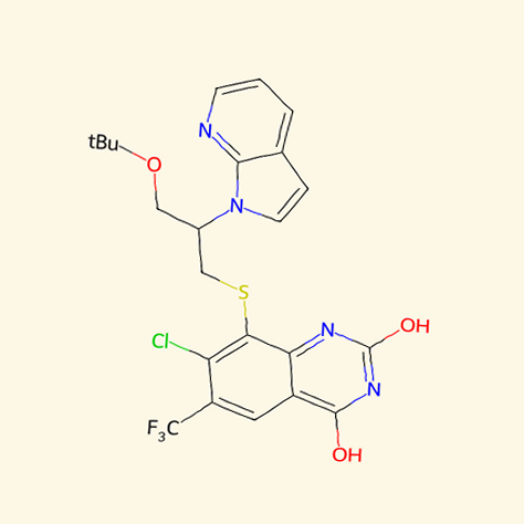 CC(C)(C)OCC(CSc1c(Cl)c(C(F)(F)F)cc2c(O)nc(O)nc12)n1ccc2cccnc21